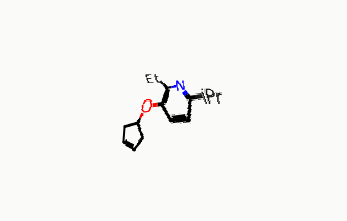 CCc1nc(C(C)C)ccc1OC1CC=CC1